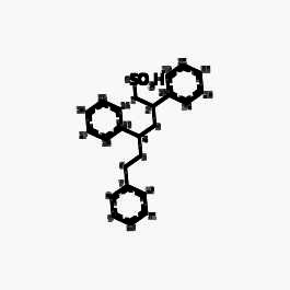 O=S(=O)(O)CC(CC(CCc1ccccc1)c1ccccc1)c1ccccc1